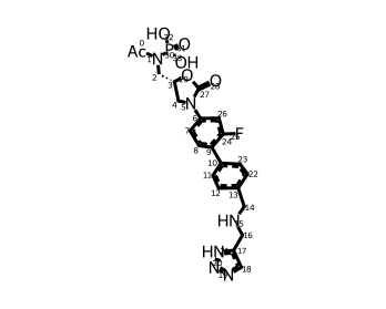 CC(=O)N(C[C@H]1CN(c2ccc(-c3ccc(CNCc4cnn[nH]4)cc3)c(F)c2)C(=O)O1)P(=O)(O)O